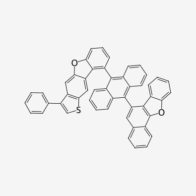 c1ccc(-c2csc3cc4c(cc23)oc2cccc(-c3c5ccccc5c(-c5cc6ccccc6c6oc7ccccc7c56)c5ccccc35)c24)cc1